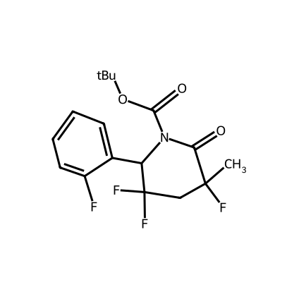 CC(C)(C)OC(=O)N1C(=O)C(C)(F)CC(F)(F)C1c1ccccc1F